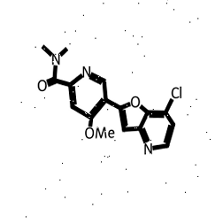 COc1cc(C(=O)N(C)C)ncc1-c1cc2nccc(Cl)c2o1